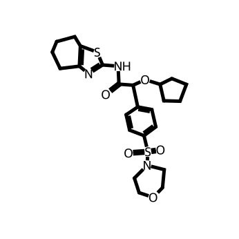 O=C(Nc1nc2c(s1)CCCC2)C(OC1CCCC1)c1ccc(S(=O)(=O)N2CCOCC2)cc1